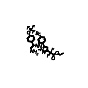 CCOC(=O)C(F)(F)c1cc(-c2ccc(Br)cc2N/C(=C\N)c2ccc(OC(F)(F)F)cc2)n(C)n1